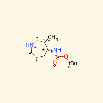 CC1CNCCC[C@H]1NC(=O)OC(C)(C)C